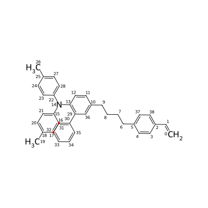 C=Cc1ccc(CCCCc2ccc(N(c3ccc(C)cc3)c3ccc(C)cc3)c(-c3ccccc3)c2)cc1